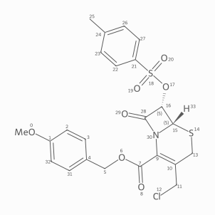 COc1ccc(COC(=O)C2=C(CCl)CS[C@H]3[C@@H](OS(=O)(=O)c4ccc(C)cc4)C(=O)N23)cc1